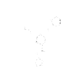 Cc1ccccc1COc1cc(OCC(C)C)cc(C(=O)Nc2nncs2)c1